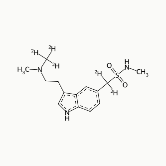 [2H]C([2H])([2H])N(C)CCc1c[nH]c2ccc(C([2H])([2H])S(=O)(=O)NC)cc12